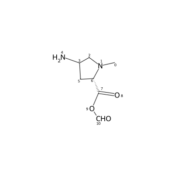 CN1CC(N)C[C@H]1C(=O)OC=O